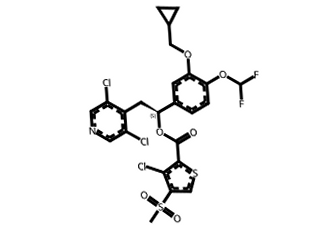 CS(=O)(=O)c1csc(C(=O)O[C@@H](Cc2c(Cl)cncc2Cl)c2ccc(OC(F)F)c(OCC3CC3)c2)c1Cl